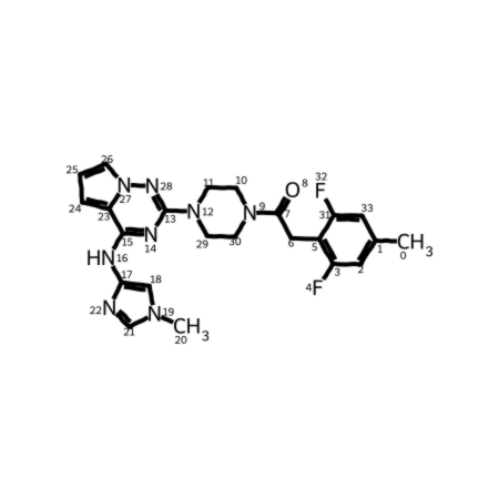 Cc1cc(F)c(CC(=O)N2CCN(c3nc(Nc4cn(C)cn4)c4cccn4n3)CC2)c(F)c1